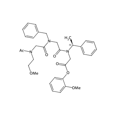 COCCN(CC(=O)N(CC(=O)N(CC(=O)Oc1ccccc1OC)[C@@H](C)c1ccccc1)Cc1ccccc1)C(C)=O